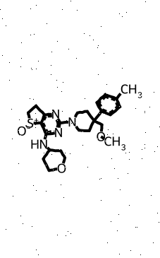 COCC1(c2ccc(C)cc2)CCN(c2nc3c(c(NC4CCOCC4)n2)[S+]([O-])CC3)CC1